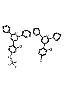 Clc1ccc(-c2cc(-c3ccccc3)[s+]c(-c3ccccc3)c2)c(Cl)c1.Clc1ccc(-c2cc(-c3ccccc3)[s+]c(-c3ccccc3)c2)c(Cl)c1.O=P([O-])([O-])F